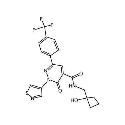 O=C(NCC1(O)CCC1)c1cc(-c2ccc(C(F)(F)F)cc2)nn(-c2cnsc2)c1=O